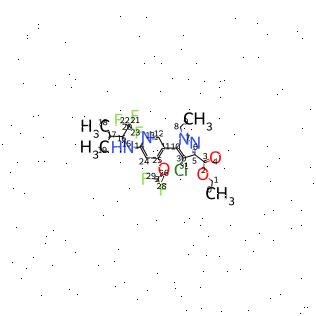 CCOC(=O)c1nn(CC)c(-c2cnc(NC(C(C)C)C(F)(F)F)cc2OC(F)F)c1Cl